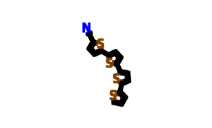 N#Cc1ccc(-c2ccc(-c3ccc(-c4cccs4)s3)s2)s1